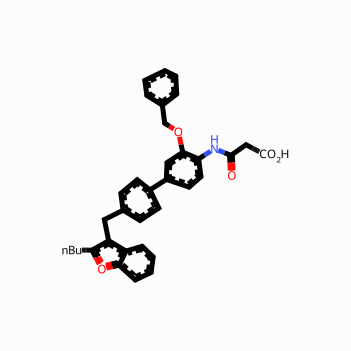 CCCCc1oc2ccccc2c1Cc1ccc(-c2ccc(NC(=O)CC(=O)O)c(OCc3ccccc3)c2)cc1